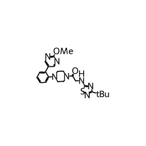 COc1ncc(-c2ccccc2N2CCN(C(=O)CNc3nc(C(C)(C)C)ns3)CC2)cn1